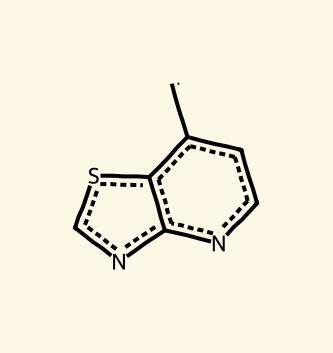 [CH2]c1ccnc2ncsc12